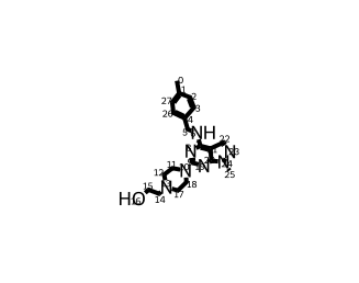 Cc1ccc(CNc2nc(N3CCN(CCO)CC3)nc3c2cnn3C)cc1